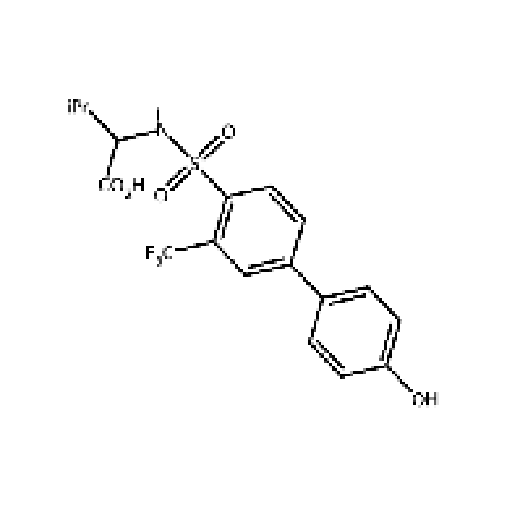 CC(C)C(NS(=O)(=O)c1ccc(-c2ccc(O)cc2)cc1C(F)(F)F)C(=O)O